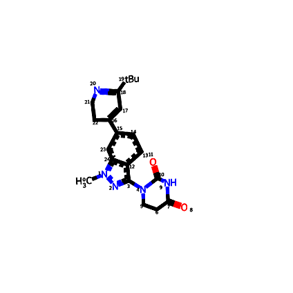 Cn1nc(N2CCC(=O)NC2=O)c2ccc(C3=CC(C(C)(C)C)=NCC3)cc21